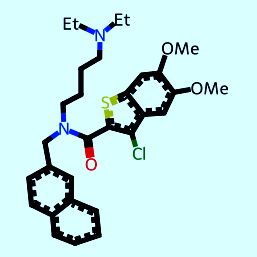 CCN(CC)CCCCN(Cc1ccc2ccccc2c1)C(=O)c1sc2cc(OC)c(OC)cc2c1Cl